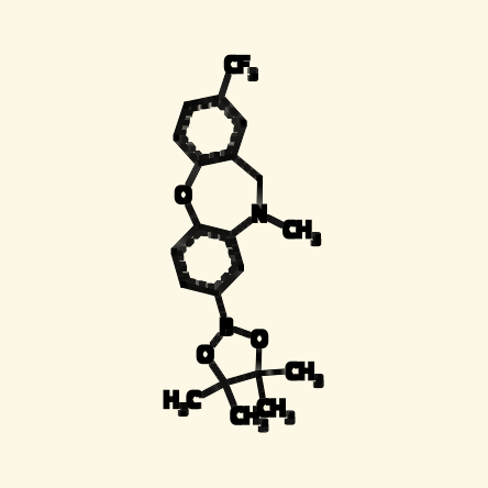 CN1Cc2cc(C(F)(F)F)ccc2Oc2ccc(B3OC(C)(C)C(C)(C)O3)cc21